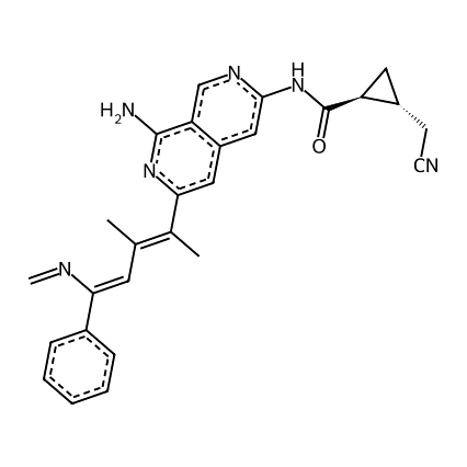 C=N/C(=C\C(C)=C(/C)c1cc2cc(NC(=O)[C@H]3C[C@@H]3CC#N)ncc2c(N)n1)c1ccccc1